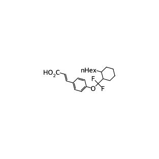 CCCCCCC1CCCCC1C(F)(F)Oc1ccc(C=CC(=O)O)cc1